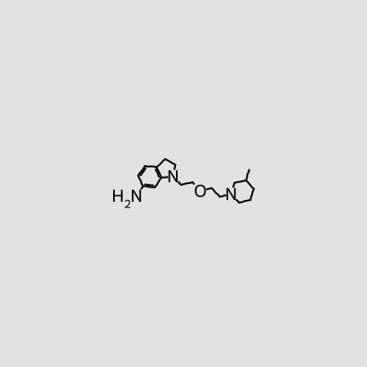 CC1CCCN(CCOCCN2CCc3ccc(N)cc32)C1